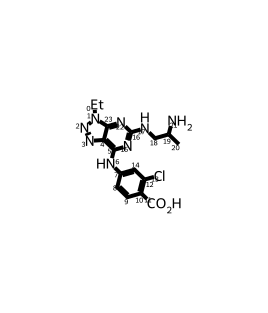 CCn1nnc2c(Nc3ccc(C(=O)O)c(Cl)c3)nc(NCC(C)N)nc21